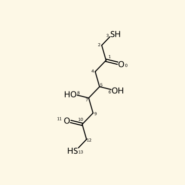 O=C(CS)CC(O)C(O)CC(=O)CS